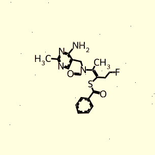 C/C(=C(\CCF)SC(=O)c1ccccc1)N(C=O)Cc1cnc(C)nc1N